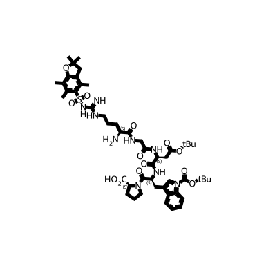 Cc1c(C)c(S(=O)(=O)NC(=N)NCCC[C@H](N)C(=O)NCC(=O)N[C@@H](CC(=O)OC(C)(C)C)C(=O)N[C@@H](Cc2cn(C(=O)OC(C)(C)C)c3ccccc23)C(=O)N2CCC[C@H]2C(=O)O)c(C)c2c1OC(C)(C)C2